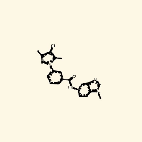 Cc1nn(-c2cccc(C(=O)Nc3ccc4c(c3)ncn4C)c2)c(C)c1Cl